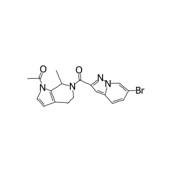 CC(=O)n1ccc2c1C(C)N(C(=O)c1cc3ccc(Br)cn3n1)CC2